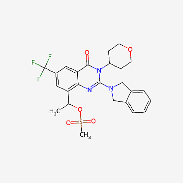 CC(OS(C)(=O)=O)c1cc(C(F)(F)F)cc2c(=O)n(C3CCOCC3)c(N3Cc4ccccc4C3)nc12